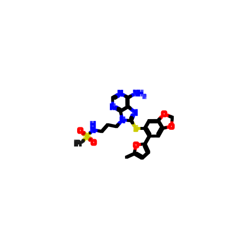 Cc1ccc(-c2cc3c(cc2Sc2nc4c(N)ncnc4n2CCCNS(=O)(=O)C(C)C)OCO3)o1